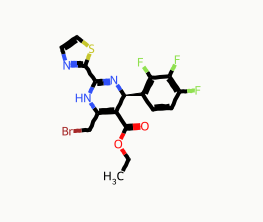 CCOC(=O)C1=C(CBr)NC(c2nccs2)=N[C@H]1c1ccc(F)c(F)c1F